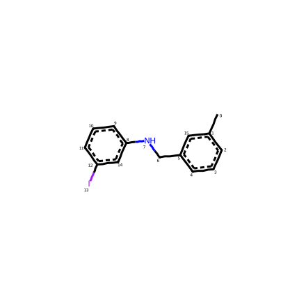 Cc1cccc(CNc2cccc(I)c2)c1